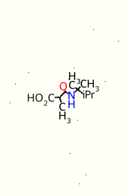 CC(C(=O)O)C(=O)NC(C)(C)C(C)C